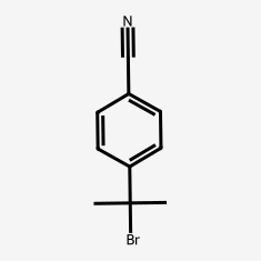 CC(C)(Br)c1ccc(C#N)cc1